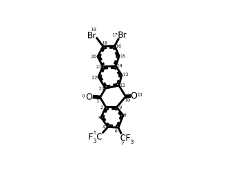 O=C1c2cc(C(F)(F)F)c(C(F)(F)F)cc2C(=O)c2cc3cc(Br)c(Br)cc3cc21